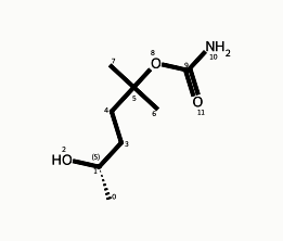 C[C@H](O)CCC(C)(C)OC(N)=O